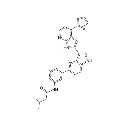 CC(C)CC(=O)Nc1cncc(-c2ccc3[nH]nc(-c4cc5c(-c6cccs6)ccnc5[nH]4)c3n2)c1